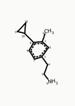 Cc1cc(CCN)ccc1C1CC1